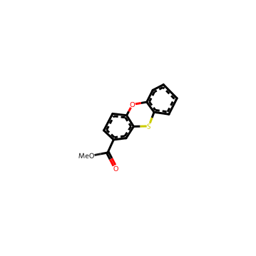 COC(=O)c1ccc2c(c1)Sc1ccccc1O2